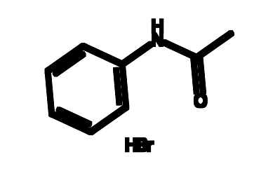 Br.CC(=O)Nc1ccccc1